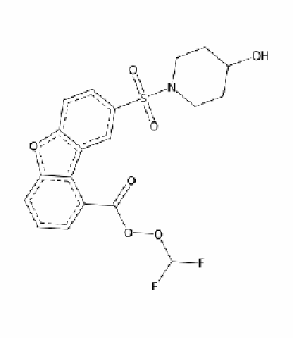 O=C(OOC(F)F)c1cccc2oc3ccc(S(=O)(=O)N4CCC(O)CC4)cc3c12